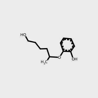 CC(CCCCO)Oc1ccccc1O